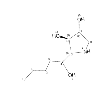 CCCCC(O)[C@H]1NC[C@@H](O)[C@@H]1O